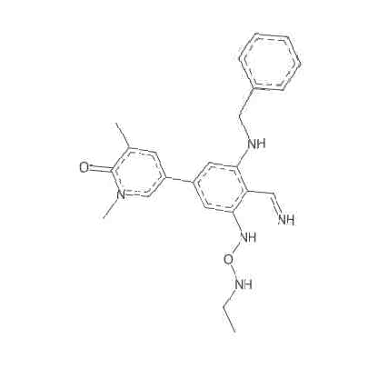 CCNONc1cc(-c2cc(C)c(=O)n(C)c2)cc(NCc2ccccc2)c1C=N